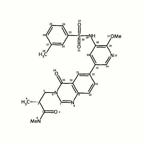 CNC(=O)[C@H](C)Cn1cnc2ccc(-c3cnc(OC)c(NS(=O)(=O)c4cccc(C)c4)c3)cc2c1=O